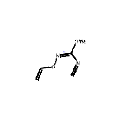 C=CO/N=C(\N=C)OC